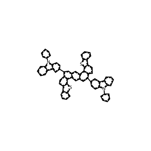 c1ccc(-n2c3ccccc3c3cc(-c4cc5cc6c(cc(-c7ccc8c(c7)c7ccccc7n8-c7ccccc7)c7ccc8c9ccccc9sc8c76)cc5c5c4ccc4c6ccccc6sc45)ccc32)cc1